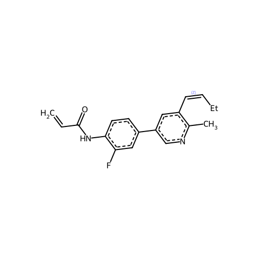 C=CC(=O)Nc1ccc(-c2cnc(C)c(/C=C\CC)c2)cc1F